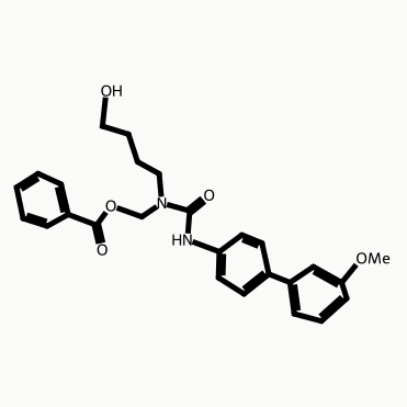 COc1cccc(-c2ccc(NC(=O)N(CCCCO)COC(=O)c3ccccc3)cc2)c1